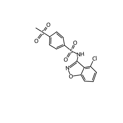 CS(=O)(=O)c1ccc(S(=O)(=O)Nc2noc3cccc(Cl)c23)cc1